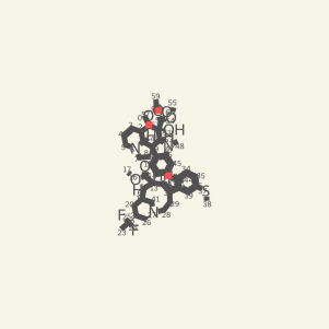 CC[C@]12C=CCN3CC[C@@]4(c5cc([C@@]6(C(=O)OC)C[C@@H]7C[C@@H](C(C)(F)F)C[N@](CCc8c6[nH]c6ccc(SC)cc86)C7)c(OC)cc5N(C)[C@H]4[C@@](O)(C(=O)OC)[C@@H]1OC(C)=O)[C@@H]32